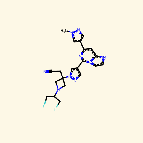 Cn1cc(-c2cc3nccn3c(-c3cnn(C4(CC#N)CN(C(CF)CF)C4)c3)n2)cn1